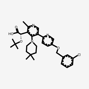 Cc1ncc(-c2ccc(OCc3cccc(Cl)c3)cn2)c(N2CCC(C)(C)CC2)c1[C@H](OC(C)(C)C)C(=O)O